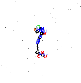 COc1cc(N2CCC(N3CCN(CCCCCCc4cccc5c4CN(C4CCC(=O)NC4=O)C5=O)CC3)CC2)ccc1Nc1ncc(Cl)c(Nc2ccccc2P(C)C)n1